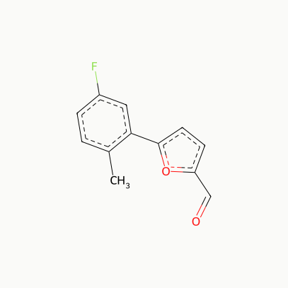 Cc1ccc(F)cc1-c1ccc(C=O)o1